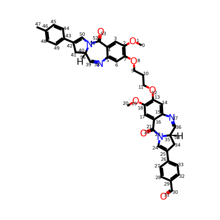 COc1cc2c(cc1OCCCOc1cc3c(cc1OC)C(=O)N1C=C(c4ccc(C=O)cc4)C[C@H]1C=N3)N=C[C@@H]1CC(c3ccc(C)cc3)=CN1C2=O